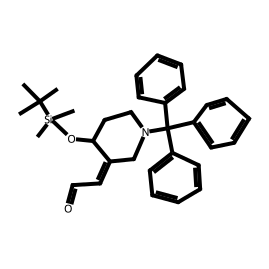 CC(C)(C)[Si](C)(C)OC1CCN(C(c2ccccc2)(c2ccccc2)c2ccccc2)CC1=CC=O